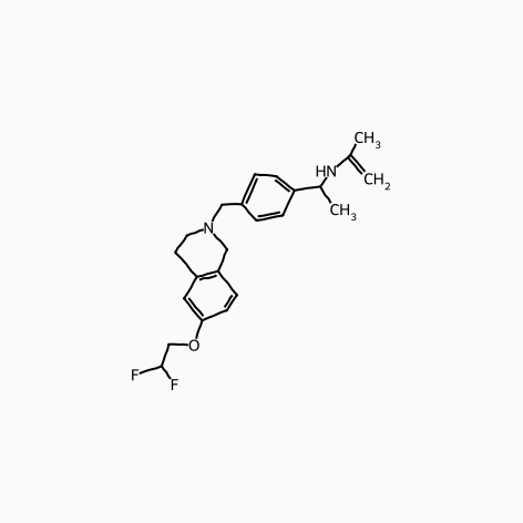 C=C(C)NC(C)c1ccc(CN2CCc3cc(OCC(F)F)ccc3C2)cc1